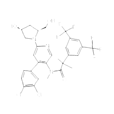 CN(C(=O)C(C)(C)c1cc(C(F)(F)F)cc(C(F)(F)F)c1)c1cnc(N2C[C@@H](O)C[C@H]2CO)cc1-c1ccc(Cl)c(Cl)c1